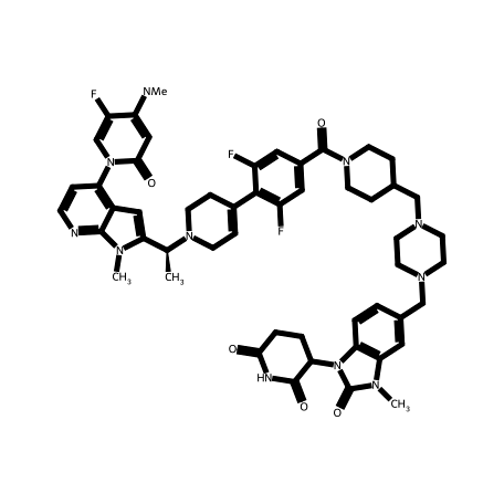 CNc1cc(=O)n(-c2ccnc3c2cc([C@H](C)N2CC=C(c4c(F)cc(C(=O)N5CCC(CN6CCN(Cc7ccc8c(c7)n(C)c(=O)n8C7CCC(=O)NC7=O)CC6)CC5)cc4F)CC2)n3C)cc1F